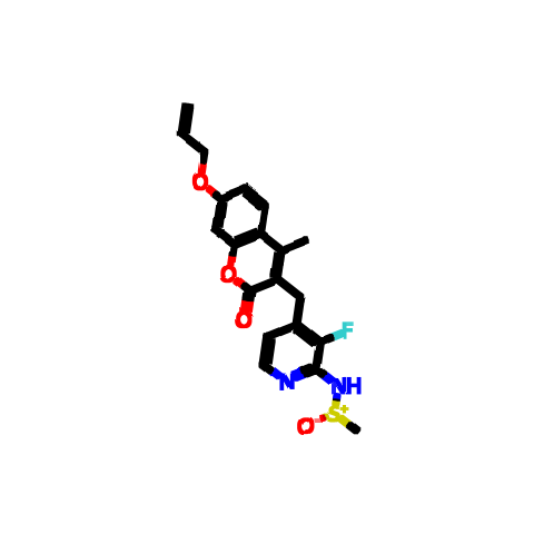 C=CCOc1ccc2c(C)c(Cc3ccnc(N[S+](C)[O-])c3F)c(=O)oc2c1